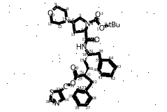 CC(C)(C)OC(=O)N1CC(N2CCOCC2)CC1C(=O)N[C@@H](CC[C@@H](Cc1ccccc1)C(=O)OCc1cncs1)Cc1ccccc1